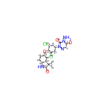 Nn1c(=O)cnn(-c2cc(Cl)c(Oc3ccc4c(c3)C3(CC3)C(=O)N4)c(Cl)c2)c1=O